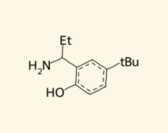 CCC(N)c1cc(C(C)(C)C)ccc1O